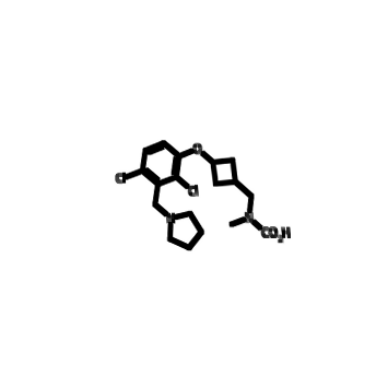 CN(CC1CC(Oc2ccc(Cl)c(CN3CCCC3)c2Cl)C1)C(=O)O